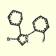 Fc1ccccc1-n1ncc(Br)c1-c1ccccc1